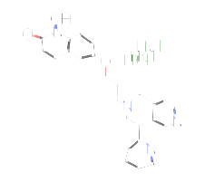 Cl.Cl.Cl.Cn1c(=O)ccc2cc(OCCCN(CCc3ccccn3)Cc3ccncc3)ccc21